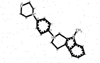 Cn1c2c(c3ccccc31)CCN(c1ccc(N3CCOCC3)cc1)C2